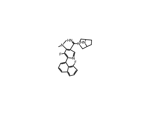 CN(C)c1c(C(=N)N2CC3CCC(C2)N3)cnc(-c2cccc3cccc(F)c23)c1F